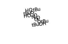 CC(C)(C)c1cc(C(=O)OCCN(CCO)C(=O)c2cc(C(C)(C)C)c(O)c(C(C)(C)C)c2)cc(C(C)(C)C)c1O